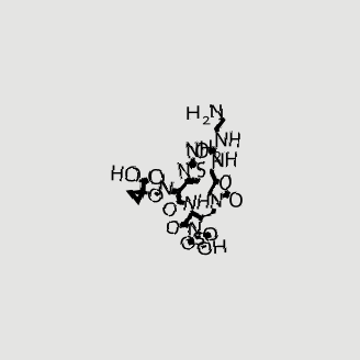 NCCNC(=O)NCC1CN(C[C@@H]2[C@H](NC(=O)/C(=N\OC3(C(=O)O)CC3)c3csc(N)n3)C(=O)N2S(=O)(=O)O)C(=O)O1